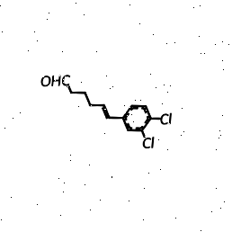 O=CCCCC=Cc1ccc(Cl)c(Cl)c1